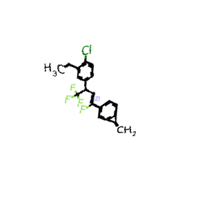 C=C1c2ccc(/C(F)=C/C(c3ccc(Cl)c(CC)c3)C(F)(F)F)cc21